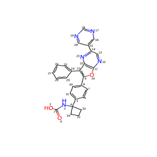 O=C(O)NC1(c2ccc(-c3oc4ncc(-c5cncnc5)nc4c3-c3ccccc3)cc2)CCC1